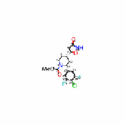 COC(=O)N1CC[C@H](c2cc(=O)[nH]o2)C[C@@H]1c1cc(F)c(Cl)c(F)c1